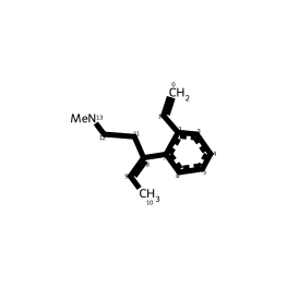 C=Cc1ccccc1/C(=C\C)CCNC